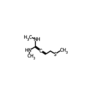 CNC(=C=CCSC)NC